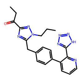 CCCn1nc(C(=O)CC)nc1Cc1ccc(-c2cccnc2-c2nnn[nH]2)cc1